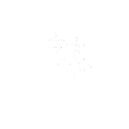 Cc1c(OS(=O)(=O)C(F)(F)F)c(C)c(O[Si](C)(C)C)c2c1OC(C)c1ccccc1-2